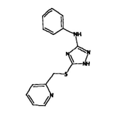 c1ccc(Nc2n[nH]c(SCc3ccccn3)n2)cc1